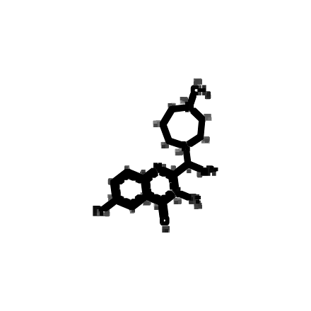 CCCC(c1nc2ccc(CC)cc2c(=O)n1CC)N1CCCN(C)CC1